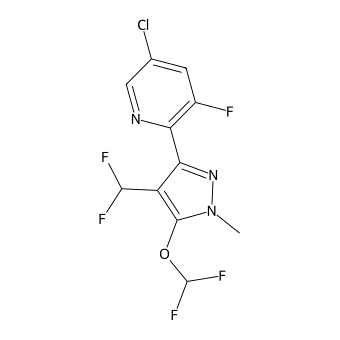 Cn1nc(-c2ncc(Cl)cc2F)c(C(F)F)c1OC(F)F